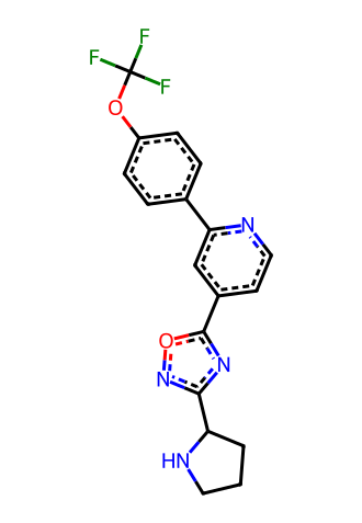 FC(F)(F)Oc1ccc(-c2cc(-c3nc(C4CCCN4)no3)ccn2)cc1